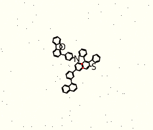 c1cc(-c2cccc(N(c3ccc(-c4cccc5c4oc4ccccc45)cc3)c3ccccc3-c3cccc4sc5ccccc5c34)c2)cc(-c2cccc3ccccc23)c1